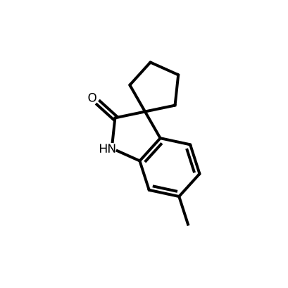 Cc1ccc2c(c1)NC(=O)C21CCCC1